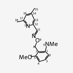 CNc1cccc(OC)c1CON=Cc1cc(C)cc(C)n1